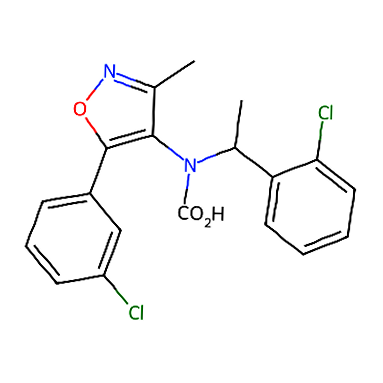 Cc1noc(-c2cccc(Cl)c2)c1N(C(=O)O)C(C)c1ccccc1Cl